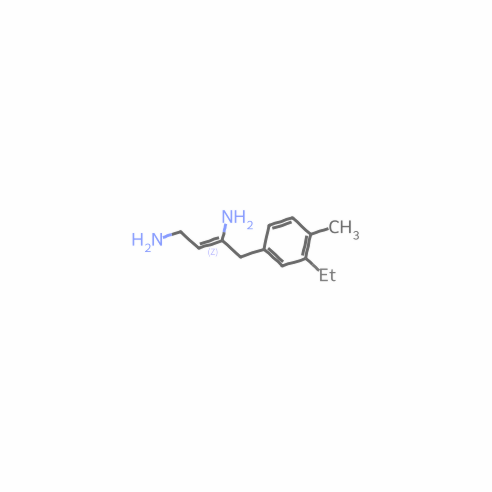 CCc1cc(C/C(N)=C/CN)ccc1C